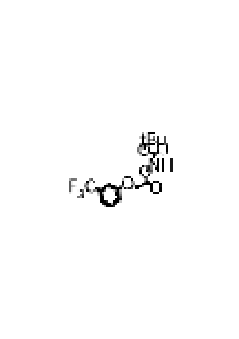 CC(C)(C)OC(=O)NOC(=O)COc1cccc(C(F)(F)F)c1